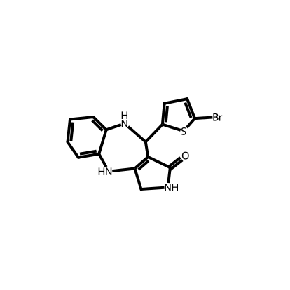 O=C1NCC2=C1C(c1ccc(Br)s1)Nc1ccccc1N2